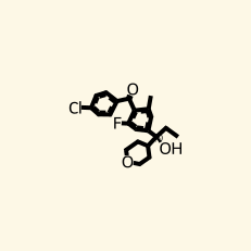 CC[C@@](O)(c1cc(C)c(C(=O)c2ccc(Cl)cc2)c(F)c1)C1CCOCC1